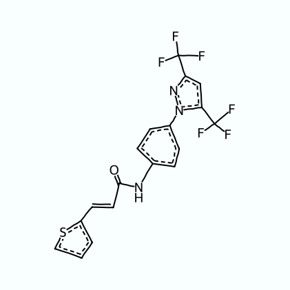 O=C(C=Cc1cccs1)Nc1ccc(-n2nc(C(F)(F)F)cc2C(F)(F)F)cc1